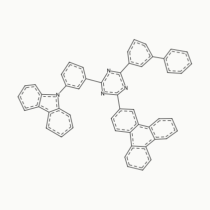 c1ccc(-c2cccc(-c3nc(-c4cccc(-n5c6ccccc6c6ccccc65)c4)nc(-c4ccc5c6ccccc6c6ccccc6c5c4)n3)c2)cc1